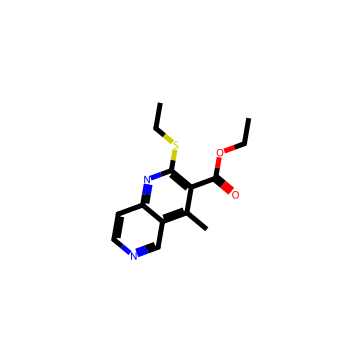 CCOC(=O)c1c(SCC)nc2ccncc2c1C